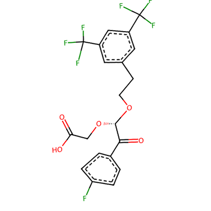 O=C(O)CO[C@H](OCCc1cc(C(F)(F)F)cc(C(F)(F)F)c1)C(=O)c1ccc(F)cc1